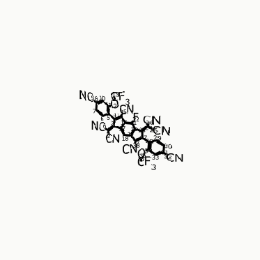 N#CC(C#N)=C1C(c2ccc(C#N)cc2OC(F)(F)F)=C(C#N)c2c1cc1c(c2F)C(=C(C#N)C#N)C(c2ccc(C#N)cc2OC(F)(F)F)=C1C#N